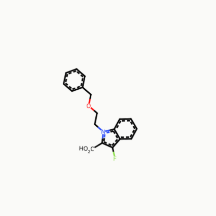 O=C(O)c1c(F)c2ccccc2n1CCOCc1ccccc1